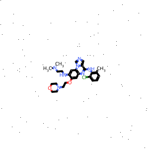 Cc1cccc(Cl)c1Nc1nc2cc(OCCN3CCOCC3)c(NCCN(C)C)cc2n2cncc12